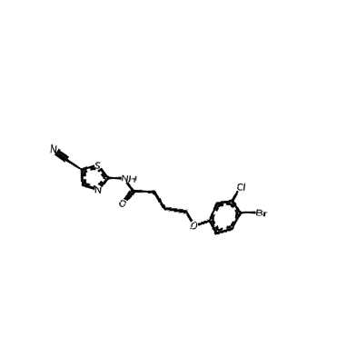 N#Cc1cnc(NC(=O)CCCOc2ccc(Br)c(Cl)c2)s1